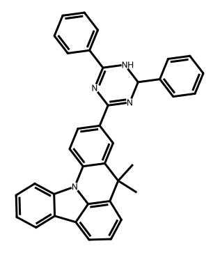 CC1(C)c2cc(C3=NC(c4ccccc4)NC(c4ccccc4)=N3)ccc2-n2c3ccccc3c3cccc1c32